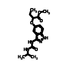 CCC(Oc1ccc2[nH]nc(NC(=O)NC(C)C)c2c1)C(=O)OC